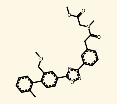 COCc1cc(-c2nc(-c3cccc(CC(=O)N(C)CC(=O)OC)c3)no2)ccc1-c1ccccc1C